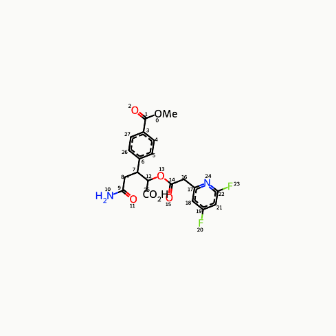 COC(=O)c1ccc(C([CH]C(N)=O)C(OC(=O)Cc2cc(F)cc(F)n2)C(=O)O)cc1